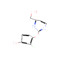 OCc1ccnc(Oc2ccc(Br)cc2F)n1